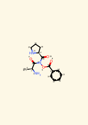 CC(C)[C@H](N)C(=O)N(OC(=O)c1ccccc1)C(=O)[C@@H]1CCCN1